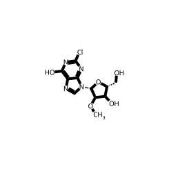 COC1C(O)[C@@H](CO)O[C@H]1n1cnc2c(O)nc(Cl)nc21